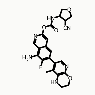 Cc1c(-c2cc3cc(OC(=O)NC4COCC4C#N)ncc3c(N)c2F)cnc2c1NCCO2